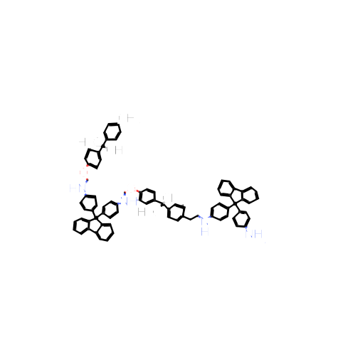 Cc1ccc(C(C)(C)c2ccc(OCNc3ccc(C4(c5ccc(NCOc6ccc(C(C)(C)c7ccc(CCNc8ccc(C9(c%10ccc(N)cc%10)c%10ccccc%10-c%10ccccc%109)cc8)cc7)cc6)cc5)c5ccccc5-c5ccccc54)cc3)cc2)cc1